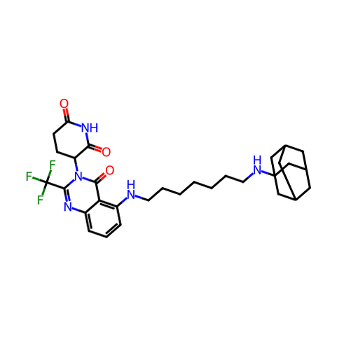 O=C1CCC(n2c(C(F)(F)F)nc3cccc(NCCCCCCCNC45CC6CC(CC(C6)C4)C5)c3c2=O)C(=O)N1